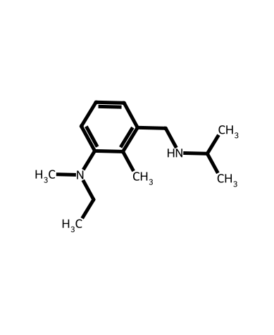 CCN(C)c1cccc(CNC(C)C)c1C